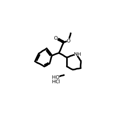 CO.COC(=O)C(c1ccccc1)C1CCCCN1.Cl